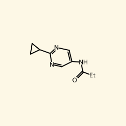 CCC(=O)Nc1cnc(C2CC2)nc1